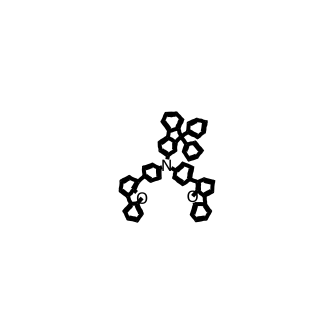 c1ccc(C2(c3ccccc3)c3ccccc3-c3ccc(N(c4ccc(-c5cccc6c5oc5ccccc56)cc4)c4ccc(-c5cccc6c5oc5ccccc56)cc4)cc32)cc1